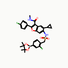 CNC(=O)c1c(-c2ccc(F)cc2)oc2cc(NS(=O)(=O)Cc3ccc(B4OC(C)(C)C(C)(C)O4)cc3F)c(C3CC3)cc12